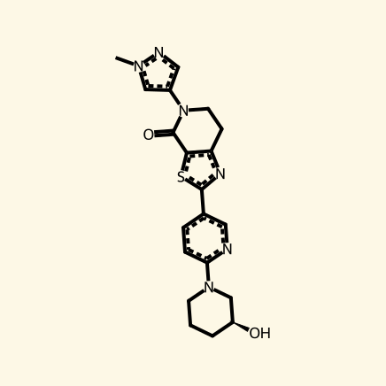 Cn1cc(N2CCc3nc(-c4ccc(N5CCC[C@H](O)C5)nc4)sc3C2=O)cn1